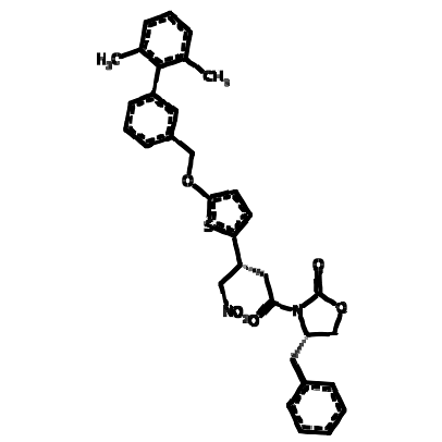 Cc1cccc(C)c1-c1cccc(COc2ccc([C@H](CC(=O)N3C(=O)OC[C@@H]3Cc3ccccc3)C[N+](=O)[O-])s2)c1